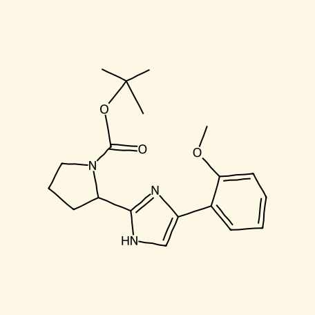 COc1ccccc1-c1c[nH]c(C2CCCN2C(=O)OC(C)(C)C)n1